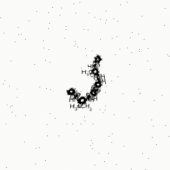 CC1(C)C=C(NC(=O)Nc2ccc(S(=O)(=O)c3ccc(NC(=O)NC4=CC(C)(C)C=C(NC(=O)Oc5ccccc5)C=C4)cc3)cc2)C=CC(NC(=O)Oc2ccccc2)=C1